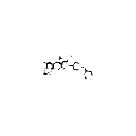 Cc1cc(-c2[nH]nc(C(=O)NC3CCN(CC4CCOCC4)CC3)c2C(C)C)cn2ncnc12